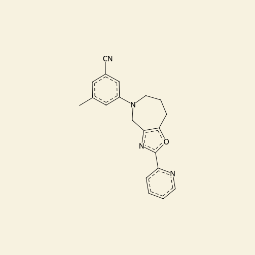 Cc1cc(C#N)cc(N2CCCc3oc(-c4ccccn4)nc3C2)c1